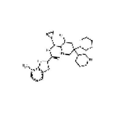 Cc1cccc2c1NC(C(=O)NC(C1CC1)C1NCC(C3CCCCC3)(C3CCCNC3)CC1C)C2